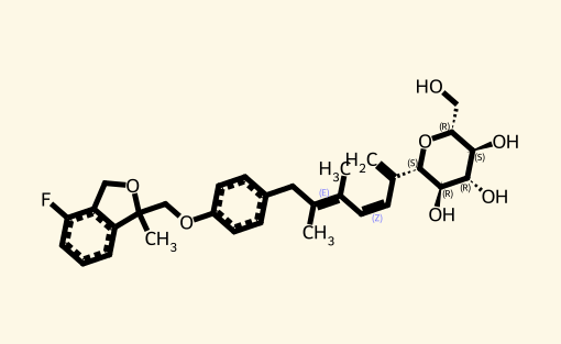 C=C(/C=C\C(C)=C(/C)Cc1ccc(OCC2(C)OCc3c(F)cccc32)cc1)[C@@H]1O[C@H](CO)[C@@H](O)[C@H](O)[C@H]1O